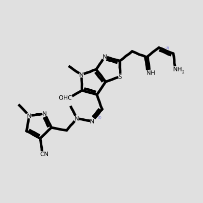 CN(Cc1nn(C)cc1C#N)/N=C\c1c(C=O)n(C)c2nc(CC(=N)/C=C\N)sc12